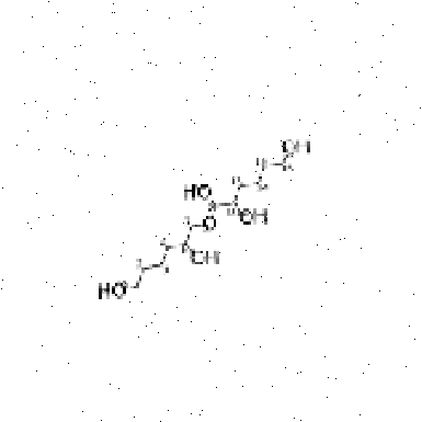 OCCCCC(O)COC(O)C(O)CCCCO